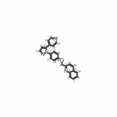 c1ccc2nc(COc3ccc(-n4nccc4-c4ccncc4)cc3)ccc2c1